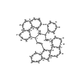 NC(NC(/C=C/c1c2ccccc2cc2ccc3ccccc3c12)c1cccc2ccc3ccccc3c12)c1ccccc1